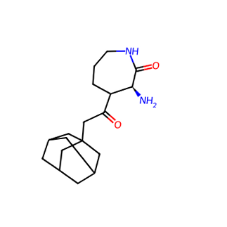 N[C@@H]1C(=O)NCCCC1C(=O)CC12CC3CC(CC(C3)C1)C2